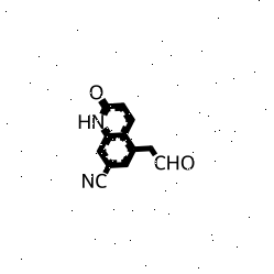 N#Cc1cc(CC=O)c2ccc(=O)[nH]c2c1